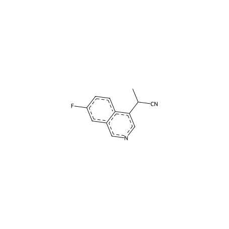 CC(C#N)c1cncc2cc(F)ccc12